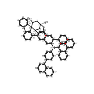 CC[C@H]1C[C@H]2C[C@@H](C)C[C@H](C2)[C@@]12c1ccccc1-c1cccc(-c3ccc4cc(-c5ccccc5)c(N(c5ccc(-c6cccc7ccccc67)cc5)c5cc6ccccc6c6ccccc56)cc4c3)c12